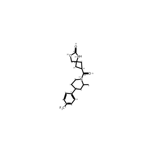 CC1CC(c2ccc(C(F)(F)F)cc2)CCN1C(=O)C1CC2(COC(=O)N2)C1